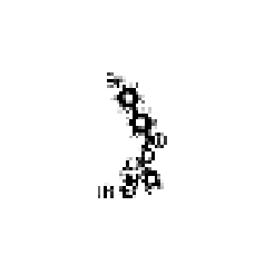 CC(C)(C)OC(=O)N1CCC[C@H]1C(=O)OCC(=O)c1ccc(-c2ccc(Br)cc2)cc1